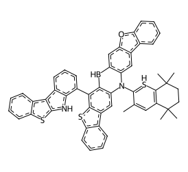 CC1=CC2=C([SH]=C1N1c3cc4c(cc3Bc3c1cc1c(sc5ccccc51)c3-c1cccc3c1[nH]c1sc5ccccc5c13)oc1ccccc14)C(C)(C)CCC2(C)C